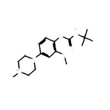 COc1cc(N2CCN(C)CC2)ccc1NC(=O)OC(C)(C)C